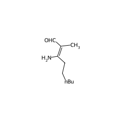 CCCCCCC(N)=C(C)C=O